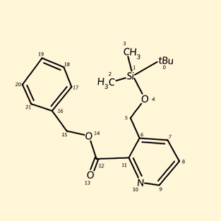 CC(C)(C)[Si](C)(C)OCc1cccnc1C(=O)OCc1ccccc1